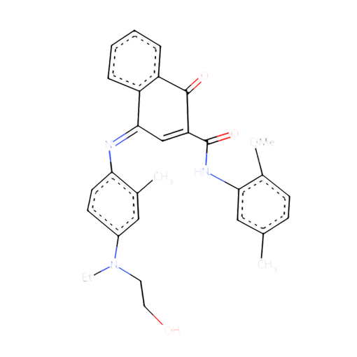 CCN(CCO)c1ccc(N=C2C=C(C(=O)Nc3cc(C)ccc3OC)C(=O)c3ccccc32)c(C)c1